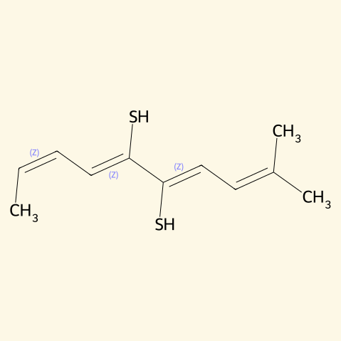 C\C=C/C=C(S)/C(S)=C/C=C(C)C